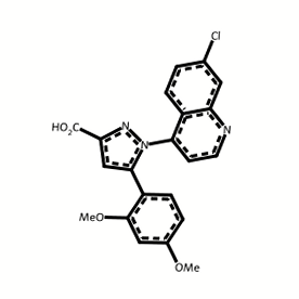 COc1ccc(-c2cc(C(=O)O)nn2-c2ccnc3cc(Cl)ccc23)c(OC)c1